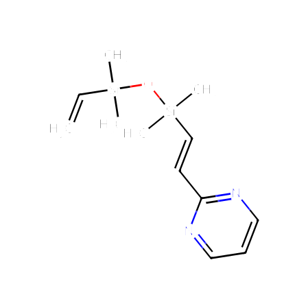 C=C[Si](C)(C)O[Si](C)(C)/C=C/c1ncccn1